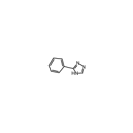 [c]1ccc(-c2nnc[nH]2)cc1